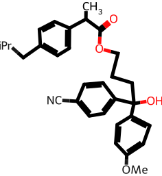 COc1ccc(C(O)(CCCOC(=O)C(C)c2ccc(CC(C)C)cc2)c2ccc(C#N)cc2)cc1